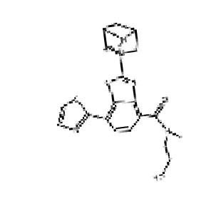 CN(CCO)C(=O)c1ccc(-c2nccs2)c2oc(N3CC4CC(C3)N4C(=O)O)nc12